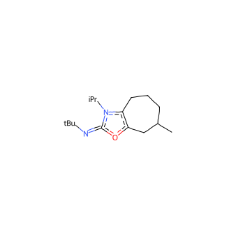 CC1CCCc2c(o/c(=N/C(C)(C)C)n2C(C)C)C1